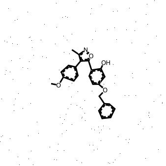 COc1ccc(-c2c(C)noc2-c2ccc(OCc3ccccc3)cc2O)cc1